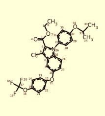 CCOC(=O)c1c(Cl)c2cc(Oc3ccc(OC(F)(F)F)cc3)ccc2n1-c1ccc(OC(C)C)cc1